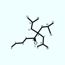 CCCCC(=O)C(CC(C)C)(CC(C)C)CC(C)C